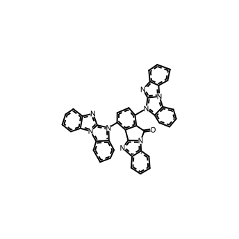 O=C1c2c(-n3c4ccccc4n4c5ccccc5nc34)ccc(-n3c4ccccc4n4c5ccccc5nc34)c2-c2nc3ccccc3n21